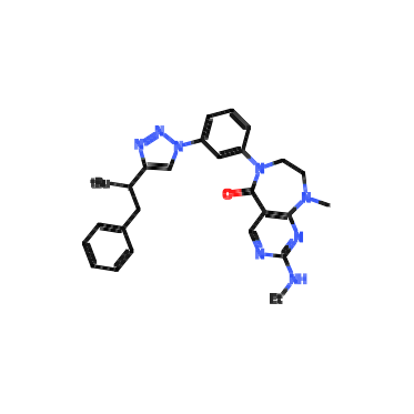 CCNc1ncc2c(n1)N(C)CCN(c1cccc(-n3cc([C](Cc4ccccc4)C(C)(C)C)nn3)c1)C2=O